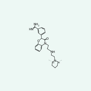 C[C@@H]1CCC[C@H](C)N1CCNCCN1C(=O)C(c2cccc(C(=N)N)c2)Oc2ccccc21